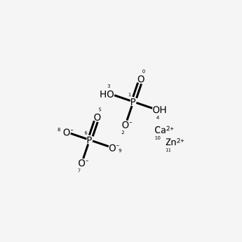 O=P([O-])(O)O.O=P([O-])([O-])[O-].[Ca+2].[Zn+2]